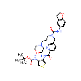 CC(C)(C)OC(=O)NC1CSC=C1NC(=O)c1ccc(CN(CCCN2CCOCC2)C(=O)Nc2ccc3c(c2)CCO3)cn1